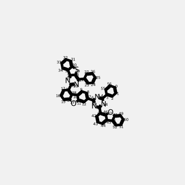 c1ccc(-c2nc(-c3ccc4c(c3)oc3cccc(-c5nc(-c6ccccc6)c6sc7ccccc7c6n5)c34)nc(-c3cccc4c3oc3ccccc34)n2)cc1